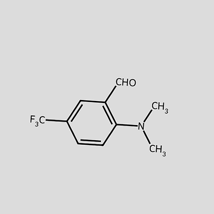 CN(C)c1ccc(C(F)(F)F)cc1C=O